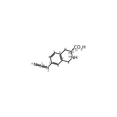 [N-]=[N+]=Nc1ccc2c(c1)CN[C@H](C(=O)O)C2